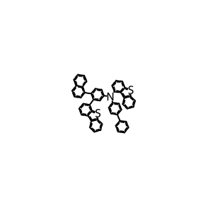 c1ccc(-c2ccc(N(c3ccc(-c4cccc5ccccc45)c(-c4cccc5c4sc4ccccc45)c3)c3cccc4sc5ccccc5c34)cc2)cc1